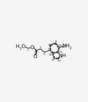 CCOC(=O)CCc1ccc(N)c2[nH]ccc12